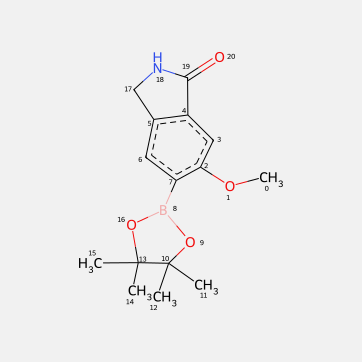 COc1cc2c(cc1B1OC(C)(C)C(C)(C)O1)CNC2=O